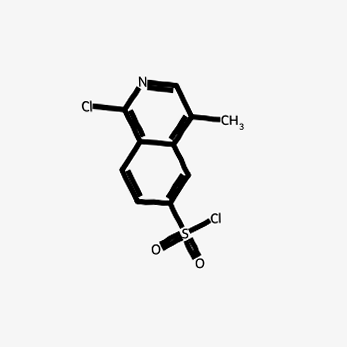 Cc1cnc(Cl)c2ccc(S(=O)(=O)Cl)cc12